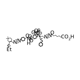 CCC12CC(C3=C(CN4CCN(c5ccc(C(=O)NS(=O)(=O)c6ccc(NC(CCN7CCN(C(=O)CCCCCC(=O)O)CC7)CSc7ccccc7)c(S(=O)(=O)C(F)(F)F)c6)cc5)CC4)CCC(C)(C)C3)(C1)C2